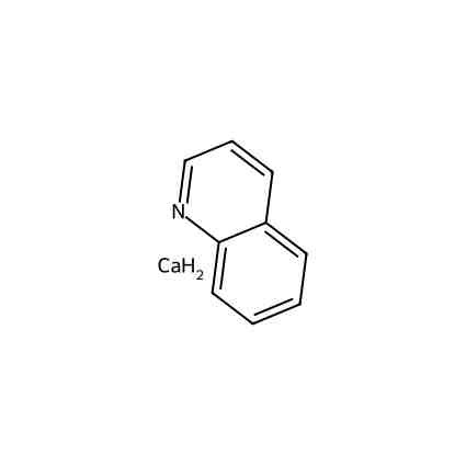 [CaH2].c1ccc2ncccc2c1